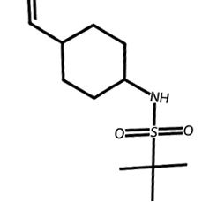 CC(C)(C)S(=O)(=O)NC1CCC(C=O)CC1